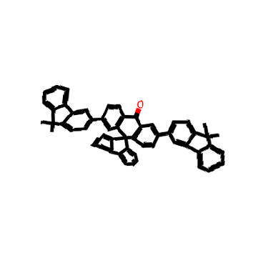 CC1(C)c2ccccc2-c2cc(-c3ccc4c(c3)C(=O)c3ccc(-c5ccc6c(c5)-c5ccccc5C6(C)C)cc3C43c4ccccc4-c4ccccc43)ccc21